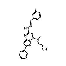 Cc1cccc(C=NNc2cc(N(C)CCO)n3nc(-c4ccccc4)cc3n2)c1